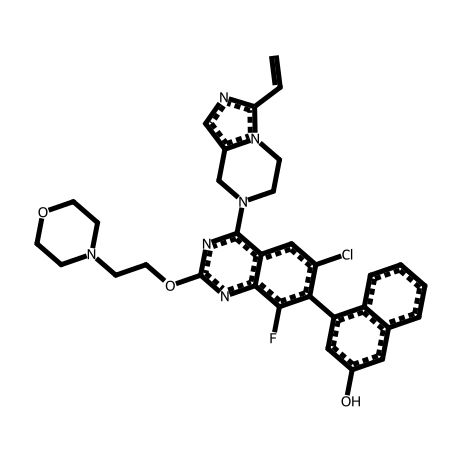 C=Cc1ncc2n1CCN(c1nc(OCCN3CCOCC3)nc3c(F)c(-c4cc(O)cc5ccccc45)c(Cl)cc13)C2